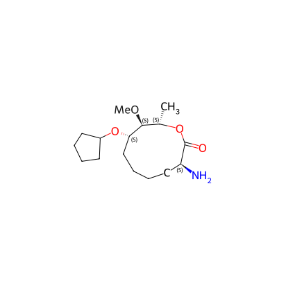 CO[C@H]1[C@H](C)OC(=O)[C@@H](N)CCCC[C@@H]1OC1CCCC1